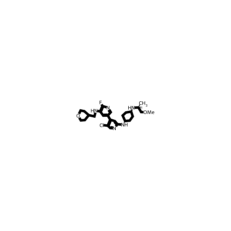 COC[C@@H](C)N[C@H]1CC[C@H](Nc2cc(-c3cnc(F)c(NCC4CCOCC4)c3)c(Cl)cn2)CC1